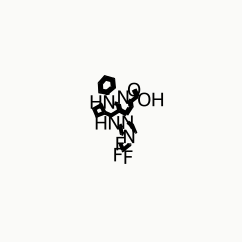 N=C(c1c(N2CCN(CC(F)(F)F)CC2)cc(C(=O)O)nc1Nc1ccccc1)C1CCC1